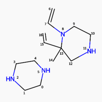 C1CNCCN1.C=CN1CCNCC1(C)C=C